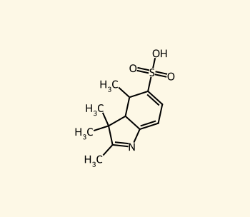 CC1=NC2=CC=C(S(=O)(=O)O)C(C)C2C1(C)C